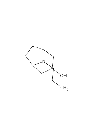 CCCN1C2CCC1CC(O)C2